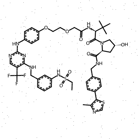 CCS(=O)(=O)Nc1cccc(CNc2nc(Nc3ccc(OCCOCC(=O)N[C@H](C(=O)N4C[C@H](O)C[C@H]4C(=O)NCc4ccc(-c5scnc5C)cc4)C(C)(C)C)cc3)ncc2C(F)(F)F)c1